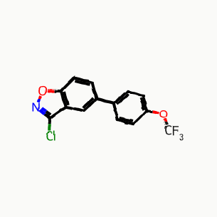 FC(F)(F)Oc1ccc(-c2ccc3onc(Cl)c3c2)cc1